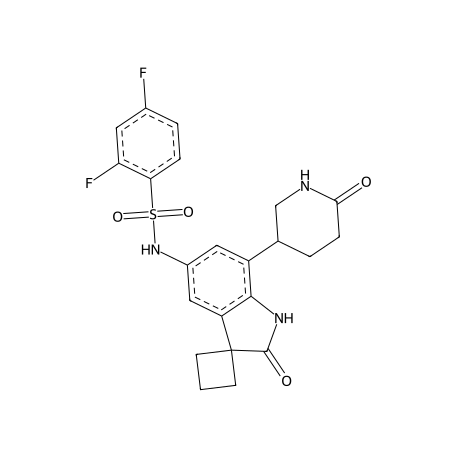 O=C1CCC(c2cc(NS(=O)(=O)c3ccc(F)cc3F)cc3c2NC(=O)C32CCC2)CN1